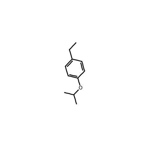 CCc1ccc(OC(C)C)cc1